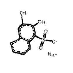 O=S(=O)([O-])c1c(O)c(O)cc2ccccc12.[Na+]